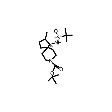 CC1CCC2(CCN(C(=O)OC(C)(C)C)CC2)[C@@H]1N[S@+]([O-])C(C)(C)C